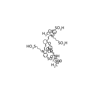 C=CS(=O)(=O)CCNC(=O)CCc1ccc(OC2=C(/C=C/C3=[N+](CCCCS(=O)(=O)O)c4ccc(S(=O)(=O)O)cc4C3(C)C)CCC/C2=C\C=C2\N(CCCCS(=O)(=O)O)c3ccc(S(=O)(=O)O)cc3C2(C)C)cc1